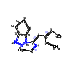 C=CC(=C\CC)/C=C(\N=C/C)n1nnc2ccccc21